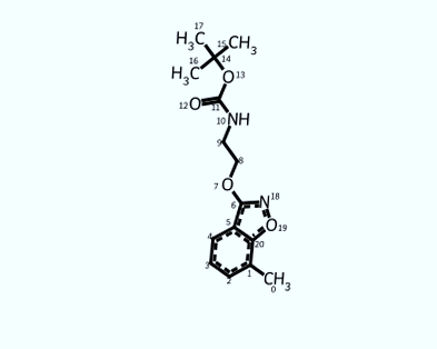 Cc1cccc2c(OCCNC(=O)OC(C)(C)C)noc12